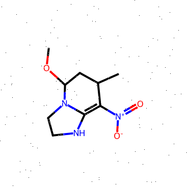 COC1CC(C)C([N+](=O)[O-])=C2NCCN21